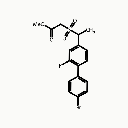 COC(=O)CS(=O)(=O)C(C)c1ccc(-c2ccc(Br)cc2)c(F)c1